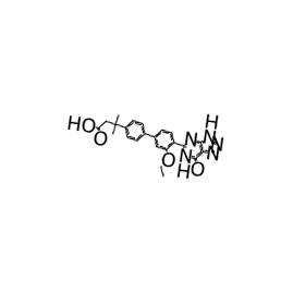 CCOc1cc(-c2ccc(C(C)(C)CC(=O)O)cc2)ccc1-c1nc2[nH]nnc2c(=O)[nH]1